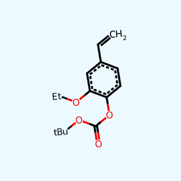 C=Cc1ccc(OC(=O)OC(C)(C)C)c(OCC)c1